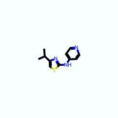 CC(C)c1csc(Nc2ccncc2)n1